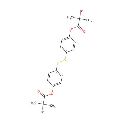 CC(C)(Br)C(=O)Oc1ccc(SSc2ccc(OC(=O)C(C)(C)Br)cc2)cc1